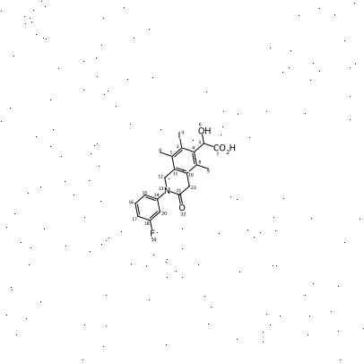 Cc1c(I)c(C(O)C(=O)O)c(C)c2c1CN(c1cccc(F)c1)C(=O)C2